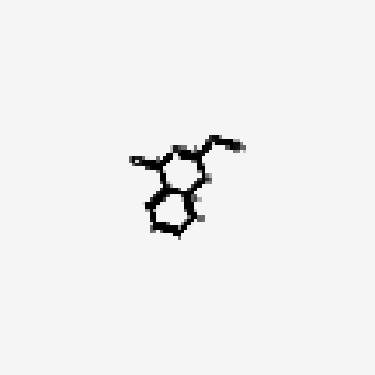 O=NC1=NC(=O)c2ccccc2C1